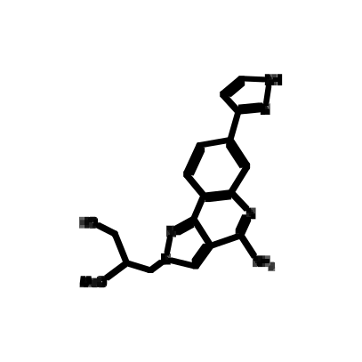 COC(CO)Cn1cc2c(N)nc3cc(-c4cc[nH]n4)ccc3c2n1